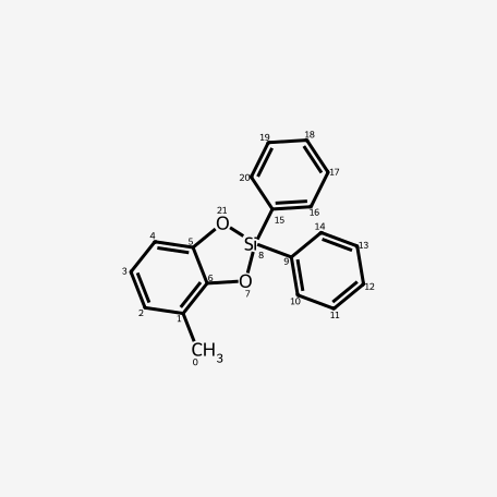 Cc1cccc2c1O[Si](c1ccccc1)(c1ccccc1)O2